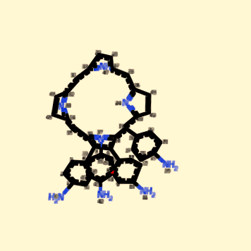 Nc1ccc(-c2c(-c3ccc(N)cc3)c3c(-c4ccc(N)cc4)c4nc(cc5ccc(cc6nc(cc2n3-c2ccc(N)cc2)C=C6)[nH]5)C=C4)cc1